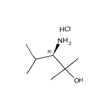 CC(C)[C@@H](N)C(C)(C)O.Cl